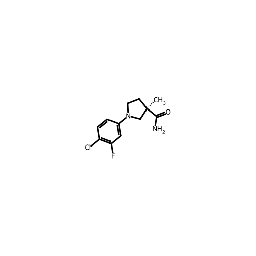 C[C@@]1(C(N)=O)CCN(c2ccc(Cl)c(F)c2)C1